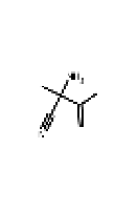 C=C(C)C(C)(N)C#N